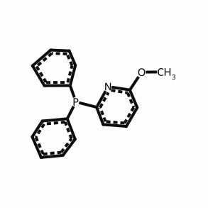 COc1cccc(P(c2ccccc2)c2ccccc2)n1